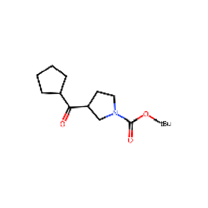 CC(C)(C)OC(=O)N1CCC(C(=O)C2CCCC2)C1